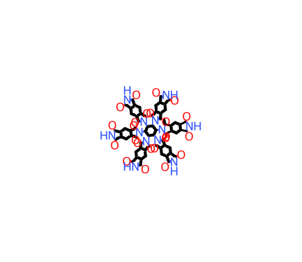 C=C1c2cc3c(cc2C(=O)N1c1c(-n2c(=O)c4cc5c(=O)[nH]c(=O)c5cc4c2=O)c(-n2c(=O)c4cc5c(=O)[nH]c(=O)c5cc4c2=O)c(-n2c(=O)c4cc5c(=O)[nH]c(=O)c5cc4c2=O)c(-n2c(=O)c4cc5c(=O)[nH]c(=O)c5cc4c2=O)c1-n1c(=O)c2cc4c(=O)[nH]c(=O)c4cc2c1=O)C(=O)NC3=O